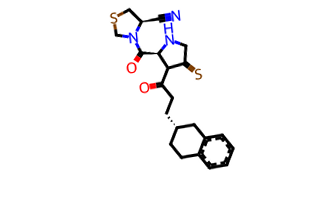 N#C[C@@H]1CSCN1C(=O)[C@H]1NCC(=S)C1C(=O)CC[C@H]1CCc2ccccc2C1